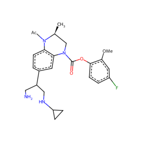 COc1cc(F)ccc1OC(=O)N1C[C@H](C)N(C(C)=O)c2ccc(C(CN)CNC3CC3)cc21